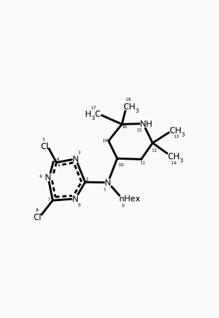 CCCCCCN(c1nc(Cl)nc(Cl)n1)C1CC(C)(C)NC(C)(C)C1